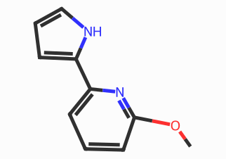 COc1cccc(-c2ccc[nH]2)n1